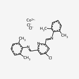 Cc1cccc(C)c1N=Cc1cc(Cl)cc(C=Nc2c(C)cccc2C)n1.[Cl-].[Cl-].[Co+2]